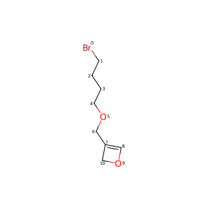 BrCCCCOCC1=COC1